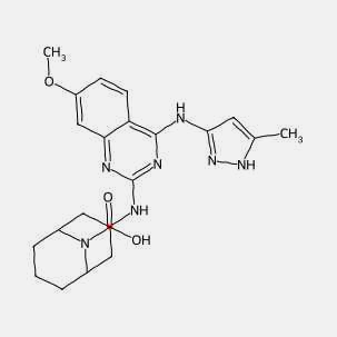 COc1ccc2c(Nc3cc(C)[nH]n3)nc(NC3CC4CCCC(C3)N4C(=O)O)nc2c1